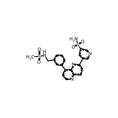 CS(=O)(=O)NCc1cccc(-c2ccnc3ccc(-c4cncc(S(N)(=O)=O)c4)nc23)c1